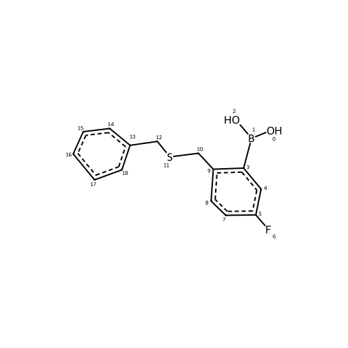 OB(O)c1cc(F)ccc1CSCc1ccccc1